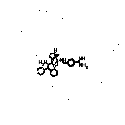 N=C(N)c1ccc(CNC(=O)[C@]23C[C@H]2CCN3C(=O)[C@H](N)C(C2CCCCC2)C2CCCCC2)cc1